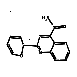 NC(=O)c1cc(C2C=CC=CO2)nc2ccccc12